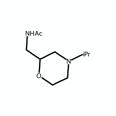 CC(=O)NCC1CN(C(C)C)CCO1